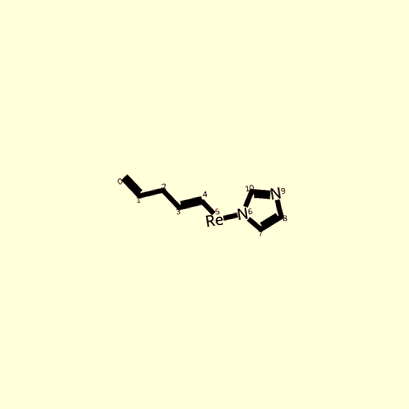 C=CCC=[CH][Re][n]1ccnc1